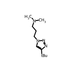 CN(C)CCCn1cc(C(C)(C)C)nn1